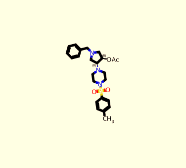 CC(=O)O[C@@H]1CN(Cc2ccccc2)C[C@H]1N1CCN(S(=O)(=O)c2ccc(C)cc2)CC1